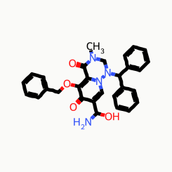 CN1CN(C(c2ccccc2)c2ccccc2)n2cc(C(N)O)c(=O)c(OCc3ccccc3)c2C1=O